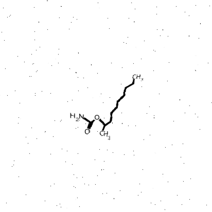 CCCCCCCCC(C)OC(N)=O